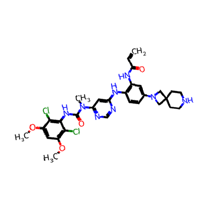 C=CC(=O)Nc1cc(N2CC3(CCNCC3)C2)ccc1Nc1cc(N(C)C(=O)Nc2c(Cl)c(OC)cc(OC)c2Cl)ncn1